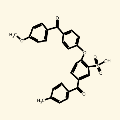 COc1ccc(C(=O)c2ccc(Oc3ccc(C(=O)c4ccc(C)cc4)cc3S(=O)(=O)O)cc2)cc1